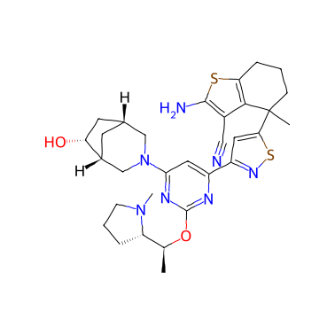 C[C@H](Oc1nc(-c2cc(C3(C)CCCc4sc(N)c(C#N)c43)sn2)cc(N2C[C@@H]3C[C@H](C2)[C@H](O)C3)n1)[C@@H]1CCCN1C